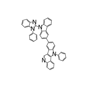 c1ccc(-n2c(-n3c4ccccc4c4cc(-c5ccc6c(c5)c5cnc7ccccc7c5n6-c5ccccc5)ccc43)nc3ccccc32)cc1